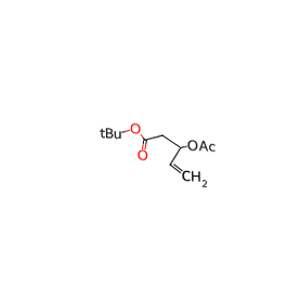 C=CC(CC(=O)OC(C)(C)C)OC(C)=O